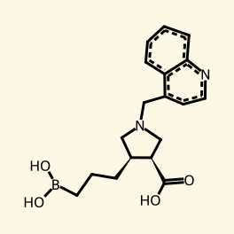 O=C(O)[C@@H]1CN(Cc2ccnc3ccccc23)C[C@@H]1CCCB(O)O